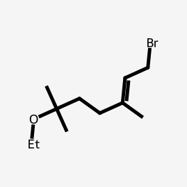 CCOC(C)(C)CCC(C)=CCBr